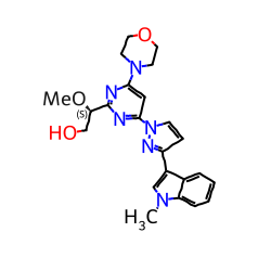 CO[C@H](CO)c1nc(N2CCOCC2)cc(-n2ccc(-c3cn(C)c4ccccc34)n2)n1